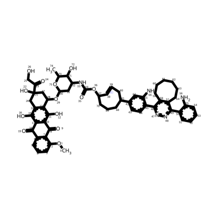 COc1cccc2c1C(=O)c1c(O)c3c(c(O)c1C2=O)CC(O)(C(=O)CO)CC3OC1CC(NC(=O)OC2/C=C/CC(c3ccc(-c4nnc(-c5ccccc5N)c5c4CCCCCC5)c(N)c3)CCC2)C(O)C(C)O1